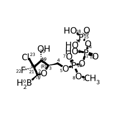 B[C@@H]1O[C@H](COP(=O)(OC)OP(=O)(O)OP(=O)(O)O)[C@@H](O)[C@]1(F)Cl